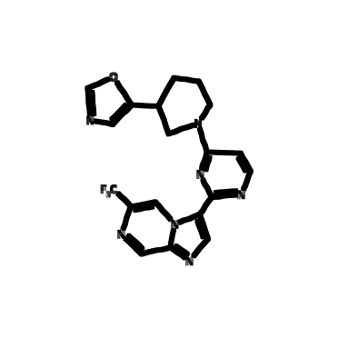 FC(F)(F)c1cn2c(-c3nccc(N4CCCC(c5cnco5)C4)n3)cnc2cn1